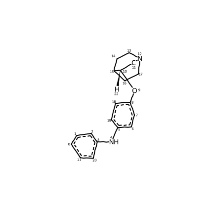 c1ccc(Nc2ccc(O[C@H]3CN4CCC3CC4)cc2)cc1